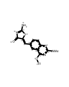 CCOc1nc(NC)nc2ccc(/C=C3\SC(N)=NC3=O)cc12